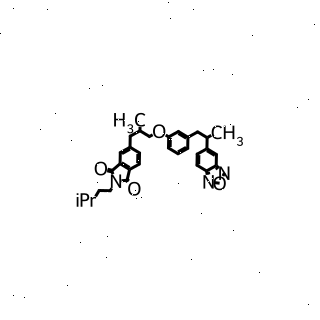 CC(C)CCN1C(=O)c2ccc(CC(C)COc3cccc(CC(C)c4ccc5nonc5c4)c3)cc2C1=O